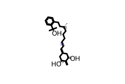 C=C1[C@H](O)CC(=C/C=C/CCC[C@@H](C)CCc2ccccc2C(C)(C)O)C[C@@H]1O